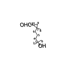 CC(C)(O)CCCC1(C)C[C@@H]1C=O